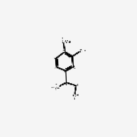 [CH2]C(CO)c1ccc(OC)c(Cl)c1